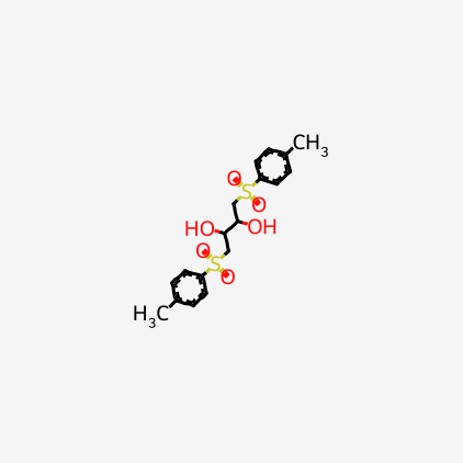 Cc1ccc(S(=O)(=O)CC(O)C(O)CS(=O)(=O)c2ccc(C)cc2)cc1